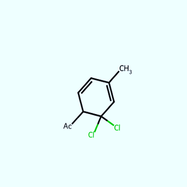 CC(=O)C1C=CC(C)=CC1(Cl)Cl